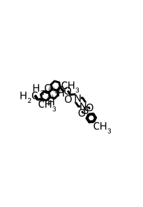 C=C[C@@]1(C)CC=C2[C@@H](CC[C@@H]3[C@](C)(COC(=O)CN4CCN(S(=O)(=O)c5ccc(C)cc5)CC4)CCC[C@@]23C)C1